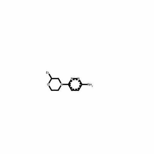 CCC1CN(c2ccc(N)nn2)CCO1